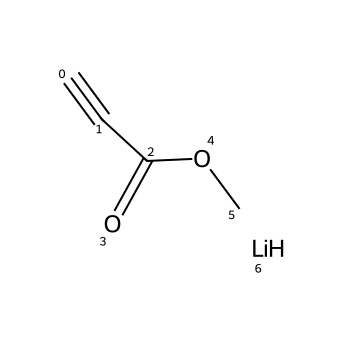 C#CC(=O)OC.[LiH]